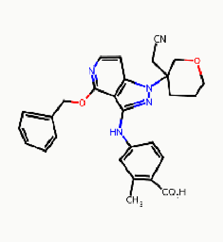 Cc1cc(Nc2nn(C3(CC#N)CCCOC3)c3ccnc(OCc4ccccc4)c23)ccc1C(=O)O